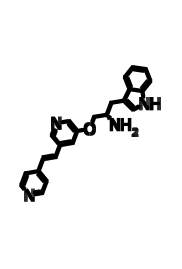 N[C@@H](COc1cncc(C=Cc2ccncc2)c1)Cc1c[nH]c2ccccc12